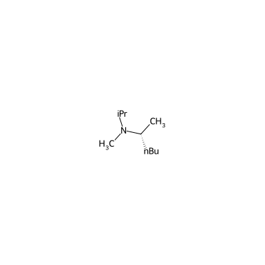 CCCC[C@@H](C)N(C)C(C)C